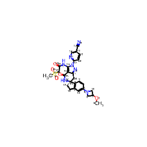 COC1CN(c2ccc3c(c2)CC[C@]32Cc3nn(-c4ccc(C#N)cn4)c(NC(=O)CS(C)(=O)=O)c3C(=O)N2)C1